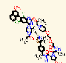 C=CC(=O)N1CCN(c2nc(O[C@H](C)CN3CCC(OCCOCC(=O)N[C@H](C(=O)N4C[C@H](O)C[C@H]4C(=O)N[C@@H](C)c4ccc(-c5scnc5C)cc4)C(C)(C)C)CC3)nc3c(F)c(-c4cc(O)cc5ccccc45)c(Cl)cc23)[C@@H](C)C1